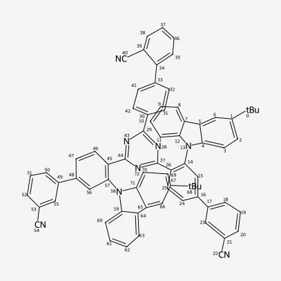 CC(C)(C)c1ccc2c(c1)c1ccccc1n2-c1cc(-c2cccc(C#N)c2)ccc1-c1nc(-c2ccc(-c3ccccc3C#N)cc2)nc(-c2ccc(-c3cccc(C#N)c3)cc2-n2c3ccccc3c3cc(C(C)(C)C)ccc32)n1